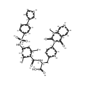 Cn1c(=O)n(-c2ccc(C[C@H](NC(=O)c3c(F)cc(NS(=O)(=O)c4ccc(-c5ccsc5)cc4)cc3F)C(=O)O)nc2)c(=O)c2ccncc21